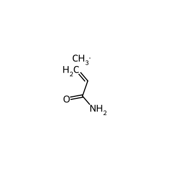 C=CC(N)=O.[CH3]